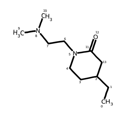 CCC1CCN(CCN(C)C)C(=O)C1